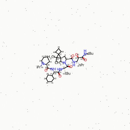 CCC[C@H](NC(=O)[C@@H]1C[C@@]2(CN1C(=O)[C@@H](NC(=O)[C@@H](NC(=O)[C@@H]1CCCCN1C(C)C)C1CCCCC1)C(C)(C)C)C(C)(C)C21CCC1)C(=O)C(=O)NC(C)(C)C